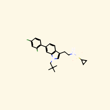 CC(C)(C)Cn1cc(CCNS(=O)(=O)C2CC2)c2ccc(-c3ccc(Cl)cc3Cl)cc21